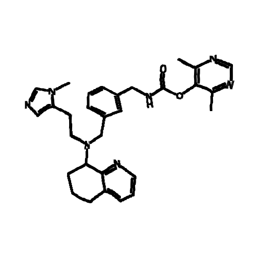 Cc1ncnc(C)c1OC(=O)NCc1cccc(CN(CCc2cncn2C)C2CCCc3cccnc32)c1